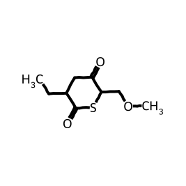 CCC1CC(=O)C(COC)SC1=O